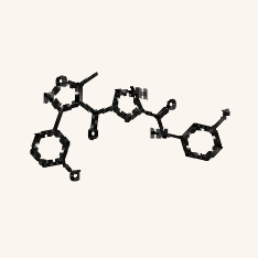 Cc1onc(-c2cccc(Cl)c2)c1C(=O)c1c[nH]c(C(=O)Nc2cccc(F)c2)c1